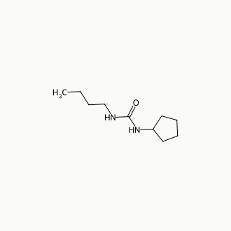 CCC[CH]NC(=O)NC1CCCC1